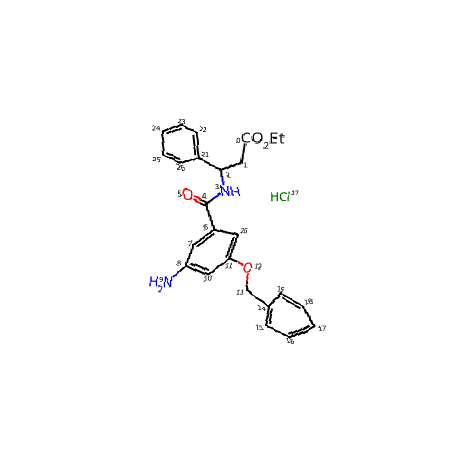 CCOC(=O)CC(NC(=O)c1cc(N)cc(OCc2ccccc2)c1)c1ccccc1.Cl